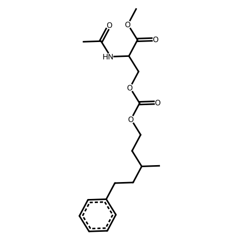 COC(=O)C(COC(=O)OCCC(C)CCc1ccccc1)NC(C)=O